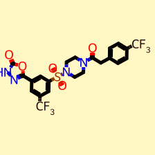 O=C(Cc1ccc(C(F)(F)F)cc1)N1CCN(S(=O)(=O)c2cc(-c3n[nH]c(=O)o3)cc(C(F)(F)F)c2)CC1